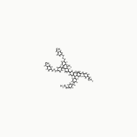 C=Cc1ccc(CCCc2ccc(N(c3ccc(CCCc4ccc(C=C)cc4)cc3)c3ccc(-c4ccc(C(c5ccc(Cc6ccc(C=C)cc6)cc5)c5ccc(Cc6ccc(C=C)cc6)cc5)c(C)c4)cc3C)cc2)cc1